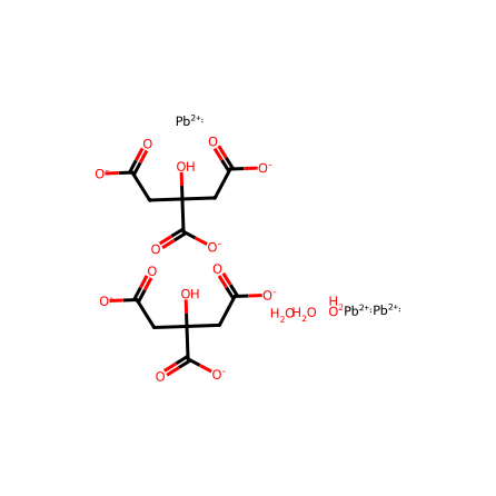 O.O.O.O=C([O-])CC(O)(CC(=O)[O-])C(=O)[O-].O=C([O-])CC(O)(CC(=O)[O-])C(=O)[O-].[Pb+2].[Pb+2].[Pb+2]